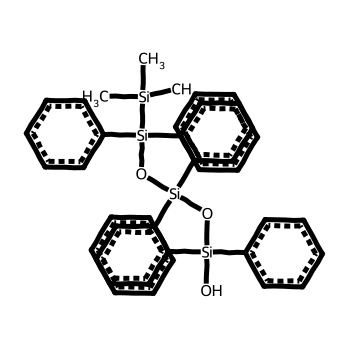 C[Si](C)(C)[Si](O[Si](O[Si](O)(c1ccccc1)c1ccccc1)(c1ccccc1)c1ccccc1)(c1ccccc1)c1ccccc1